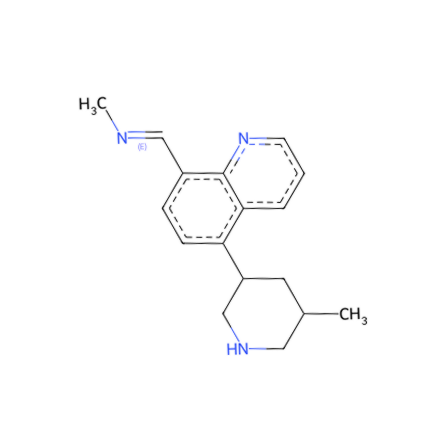 C/N=C/c1ccc(C2CNCC(C)C2)c2cccnc12